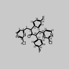 O=C(C(Cc1ccnc(Cl)n1)c1ccc(F)cc1)C(Cc1ccnc(Cl)n1)c1ccc(F)cc1